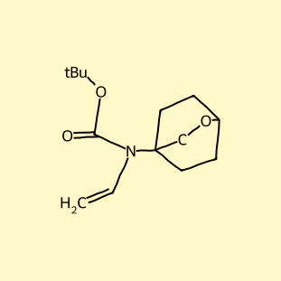 C=CN(C(=O)OC(C)(C)C)C12CCC(CC1)OC2